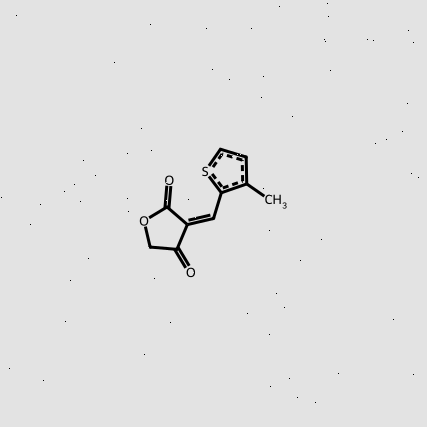 Cc1ccsc1C=C1C(=O)COC1=O